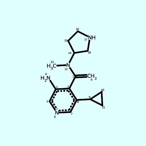 C=C(c1c(N)cncc1C1CC1)N(C)C1CCNC1